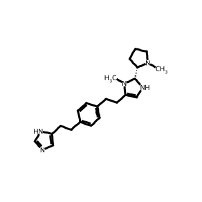 CN1C(CCc2ccc(CCc3cnc[nH]3)cc2)=CNC1[C@@H]1CCCN1C